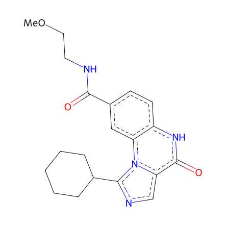 COCCNC(=O)c1ccc2[nH]c(=O)c3cnc(C4CCCCC4)n3c2c1